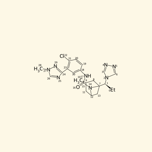 CC[C@H](n1cnnc1)C12CC(C)CC(C1)N2C(=O)Nc1ccc(Cl)c(-c2ncn(C)n2)c1